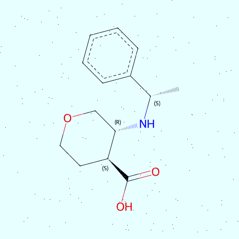 C[C@H](N[C@H]1COCC[C@@H]1C(=O)O)c1ccccc1